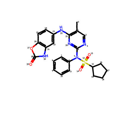 Cc1cnc(N(c2ccccc2)S(=O)(=O)C2CCCC2)nc1Nc1ccc2oc(=O)[nH]c2c1